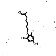 CC(=CCl)OCCCCOc1c(Cl)cc(O)cc1Cl